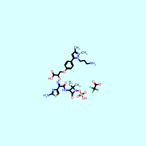 Cc1cc(-c2ccc(OCC(ON=C(C(=O)NC3C(=O)N(OS(=O)(=O)O)C3(C)C)c3csc(N)n3)C(=O)O)cc2)n(CCCN)[n+]1C.O=C([O-])C(F)(F)F